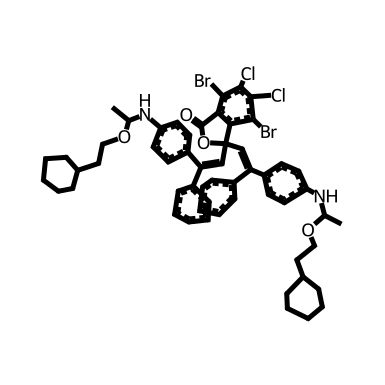 CC(Nc1ccc(C(=CC2(C=C(c3ccccc3)c3ccc(NC(C)OCCC4CCCCC4)cc3)OC(=O)c3c(Br)c(Cl)c(Cl)c(Br)c32)c2ccccc2)cc1)OCCC1CCCCC1